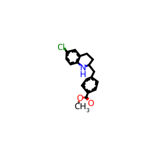 COC(=O)c1ccc(CC2CCc3cc(Cl)ccc3N2)cc1